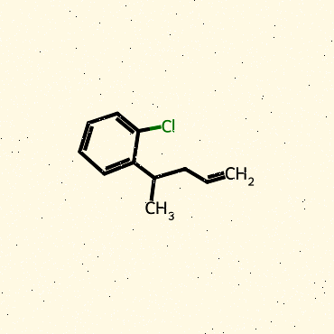 C=CCC(C)c1ccccc1Cl